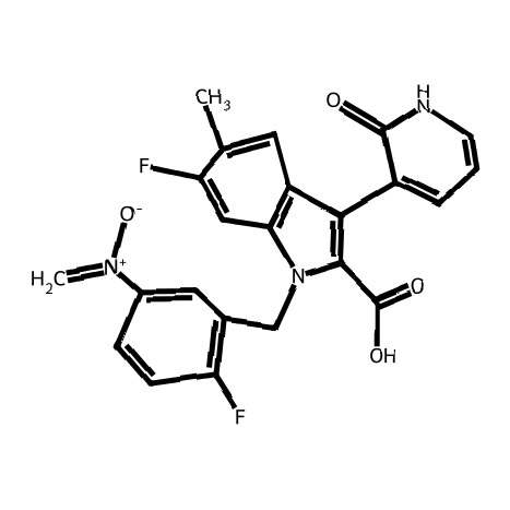 C=[N+]([O-])c1ccc(F)c(Cn2c(C(=O)O)c(-c3ccc[nH]c3=O)c3cc(C)c(F)cc32)c1